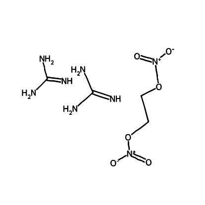 N=C(N)N.N=C(N)N.O=[N+]([O-])OCCO[N+](=O)[O-]